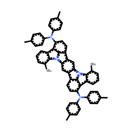 Cc1ccc(N(c2ccc(C)cc2)c2ccc3c4cc5c(cc4n4c6c(C(C)(C)C)cccc6c2c34)c2ccc(N(c3ccc(C)cc3)c3ccc(C)cc3)c3c4cccc(C(C)(C)C)c4n5c23)cc1